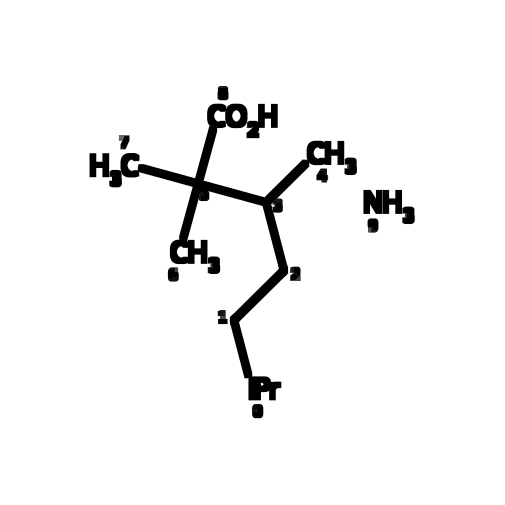 CC(C)CCC(C)C(C)(C)C(=O)O.N